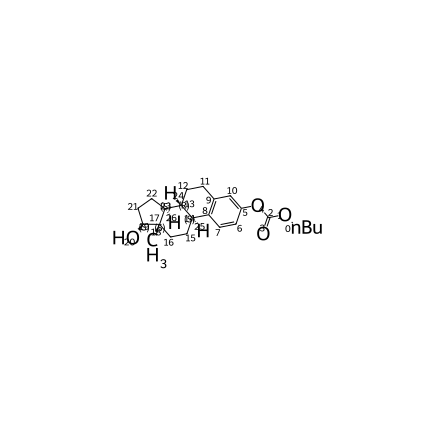 CCCCOC(=O)Oc1ccc2c(c1)CC[C@@H]1[C@@H]2CC[C@]2(C)[C@@H](O)CC[C@@H]12